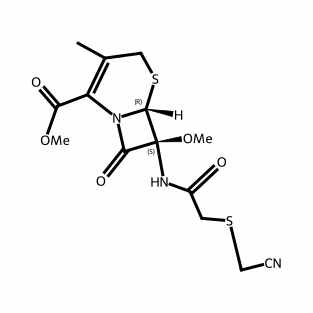 COC(=O)C1=C(C)CS[C@H]2N1C(=O)[C@]2(NC(=O)CSCC#N)OC